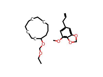 C=CCc1cc(OC)c2c(c1)OCO2.CCOCOC1CCCCCCCCCCC1